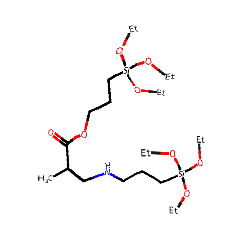 CCO[Si](CCCNCC(C)C(=O)OCCC[Si](OCC)(OCC)OCC)(OCC)OCC